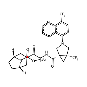 CC(C)(C)OC(=O)N1[C@@H]2CC[C@H]1CC(C(=O)NNC(=O)[C@]13CN(c4ccc(C(F)(F)F)c5ncccc45)C[C@@]1(C(F)(F)F)C3)C2